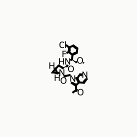 COC[C@@H](NC(=O)[C@@H]1C[C@H]2C[C@H]2N1C(=O)Cn1cc(C(C)=O)c2ccncc21)c1cccc(Cl)c1F